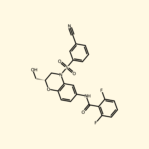 N#Cc1cccc(S(=O)(=O)N2C[C@@H](CO)Oc3ccc(NC(=O)c4c(F)cccc4F)cc32)c1